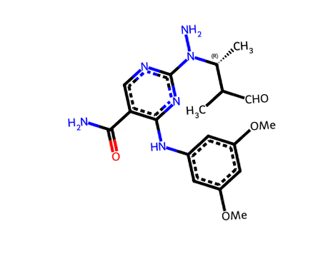 COc1cc(Nc2nc(N(N)[C@H](C)C(C)C=O)ncc2C(N)=O)cc(OC)c1